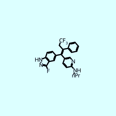 CCCNc1ccc(/C(=C(/CC(F)(F)F)c2ccccc2)c2ccc3[nH]nc(F)c3c2)cn1